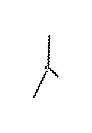 CCCCCCCCCCCCCCCCCCCn1cc[n+](CCCCCCCCCCCCCCCCCCC)c1CCCCCCCC